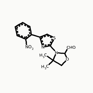 CC1(C)COC(C=O)N1c1nc(-c2ccccc2[N+](=O)[O-])cs1